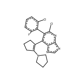 Fc1cccc(Cl)c1-c1c(Cl)nc2ncnn2c1C1=C(N2CCCC2)CCC1